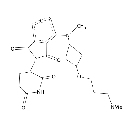 CNCCCOC1CC(N(C)c2cccc3c2C(=O)N(C2CCC(=O)NC2=O)C3=O)C1